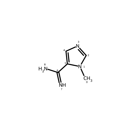 Cn1cncc1C(=N)N